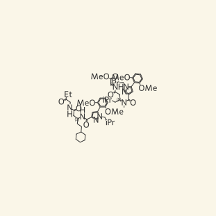 CCC(=O)CNC(=O)C[C@H](CCC1CCCCC1)NC(=O)c1cc(-c2c(OC)cccc2OC)n(CC(C)C)n1.COC(=O)CNC(=O)C[C@H](CC(C)C)N(C)C(=O)c1cc(-c2c(OC)cccc2OC)n(CC(C)C)n1